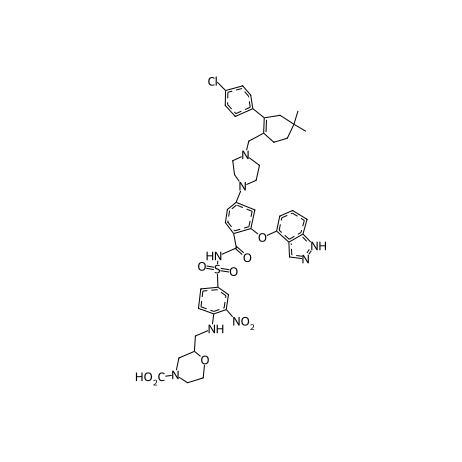 CC1(C)CCC(CN2CCN(c3ccc(C(=O)NS(=O)(=O)c4ccc(NCC5CN(C(=O)O)CCO5)c([N+](=O)[O-])c4)c(Oc4cccc5[nH]ncc45)c3)CC2)=C(c2ccc(Cl)cc2)C1